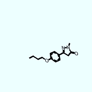 CCCCOc1ccc(C2=NN(C)C(=O)C2)cc1